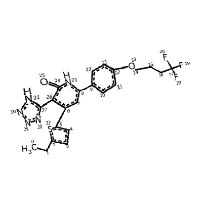 CCc1ccc(-c2cc(-c3ccc(OCCCC(F)(F)F)cc3)[nH]c(=O)c2-c2nnn[nH]2)s1